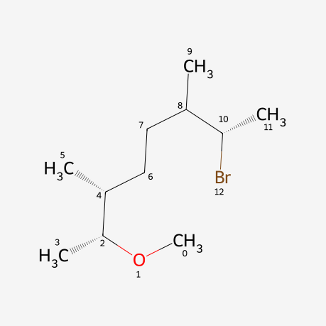 CO[C@H](C)[C@H](C)CCC(C)[C@H](C)Br